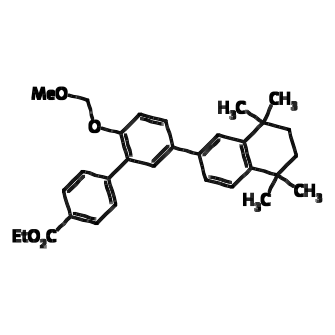 CCOC(=O)c1ccc(-c2cc(-c3ccc4c(c3)C(C)(C)CCC4(C)C)ccc2OCOC)cc1